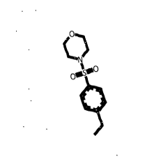 CCc1ccc(S(=O)(=O)N2CCOCC2)cc1